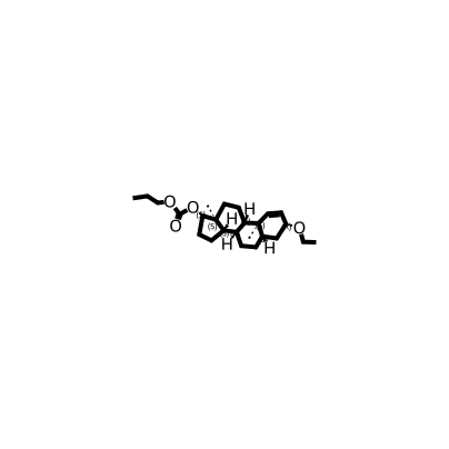 CCCOC(=O)O[C@H]1CC[C@H]2[C@@H]3CC[C@H]4C[C@@H](OCC)C=C[C@]4(C)[C@H]3CC[C@]12C